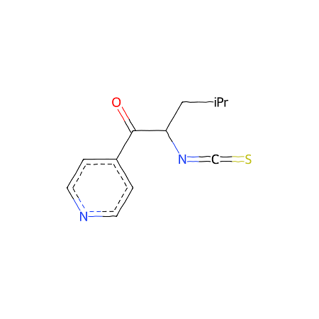 CC(C)CC(N=C=S)C(=O)c1ccncc1